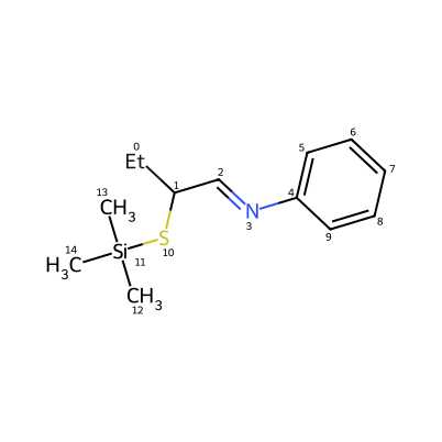 CCC(C=Nc1ccccc1)S[Si](C)(C)C